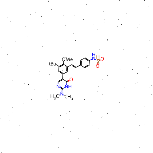 COc1c(/C=C/c2ccc(N[SH](=O)=O)cc2)cc(-c2cnc(N(C)C)[nH]c2=O)cc1C(C)(C)C